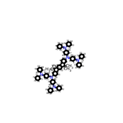 CC1(C)c2cc(N(c3ccc(N(c4ccccc4)c4ccccc4)cc3)c3ccc(N(c4ccccc4)c4ccccc4)cc3)ccc2-c2cc3c(cc21)-c1ccc(N(c2ccc(N(c4ccccc4)c4ccccc4)cc2)c2ccc(N(c4ccccc4)c4ccccc4)cc2)cc1C3(C)C